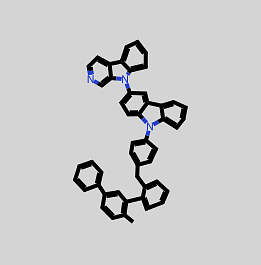 Cc1ccc(-c2ccccc2)cc1-c1ccccc1Cc1ccc(-n2c3ccccc3c3cc(-n4c5ccccc5c5ccncc54)ccc32)cc1